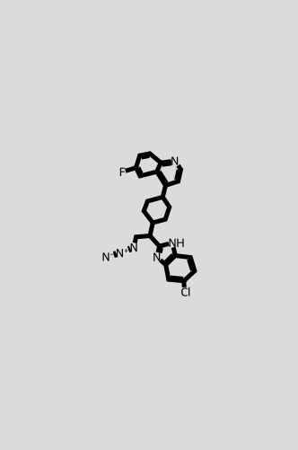 [N-]=[N+]=NCC(c1nc2cc(Cl)ccc2[nH]1)C1CCC(c2ccnc3ccc(F)cc23)CC1